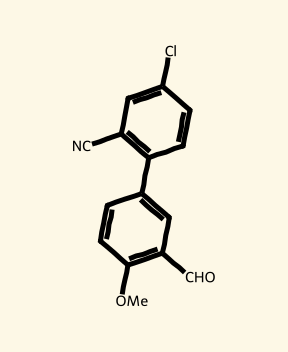 COc1ccc(-c2ccc(Cl)cc2C#N)cc1C=O